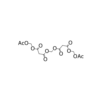 CC(=O)OCOC(=O)CC(=O)OCOC(=O)CC(=O)OCOC(C)=O